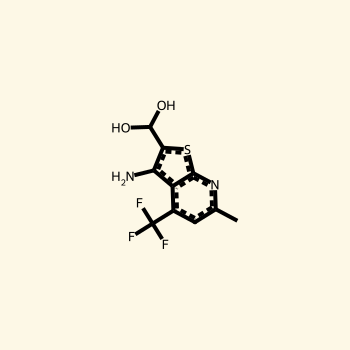 Cc1cc(C(F)(F)F)c2c(N)c(C(O)O)sc2n1